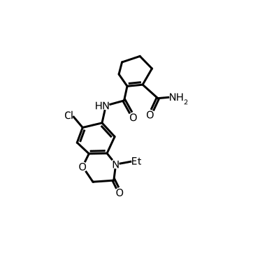 CCN1C(=O)COc2cc(Cl)c(NC(=O)C3=C(C(N)=O)CCCC3)cc21